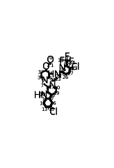 O=COC1CCN(CC2c3[nH]c4ccc(Cl)cc4c3CCN2CCNc2ccc(Cl)c(C(F)(F)F)n2)CC1